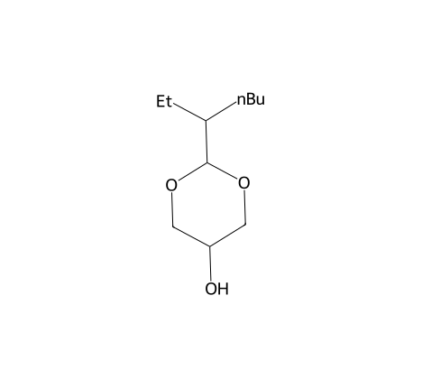 CCCCC(CC)C1OCC(O)CO1